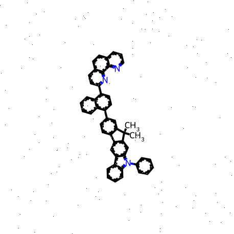 CC1(C)c2cc(-c3ccc(-c4ccc5ccc6cccnc6c5n4)c4ccccc34)ccc2-c2cc3c4ccccc4n(-c4ccccc4)c3cc21